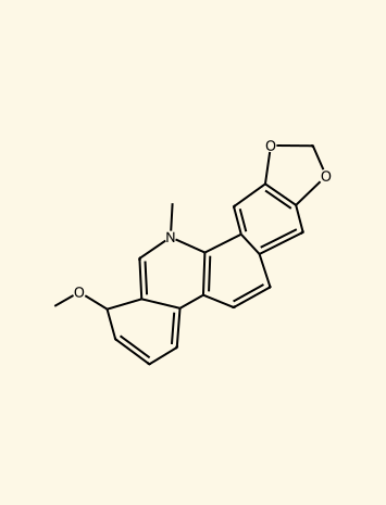 COC1C=CC=C2C1=CN(C)c1c2ccc2cc3c(cc12)OCO3